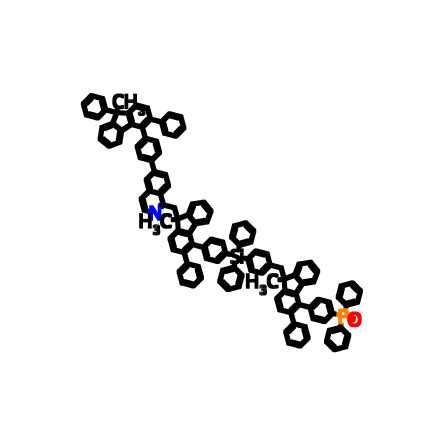 CC1(Cc2ccc([Si](c3ccccc3)(c3ccccc3)c3ccc(-c4c(-c5ccccc5)ccc5c4-c4ccccc4C5(C)Cc4nccc5cc(-c6ccc(-c7c(-c8ccccc8)ccc8c7-c7ccccc7C8(C)c7ccccc7)cc6)ccc45)cc3)cc2)c2ccccc2-c2c1ccc(-c1ccccc1)c2-c1ccc(P(=O)(c2ccccc2)c2ccccc2)cc1